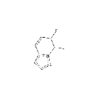 CC1c2sccc2C=CC1F